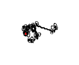 COC(=O)[C@H]1O[C@@H](Oc2ccc(COC(=O)N(C)CCN(C)C(=O)OC(C)(C)C)cc2NC(=O)CCCCCCCCCOC(=O)N(C)CCN(C)C(=O)Cl)[C@H](C)[C@@H](OC(C)=O)[C@@H]1OC(C)=O